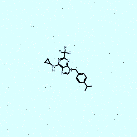 CC(C)c1ccc(Cn2cnc3c(NC4CC4)nc(C(F)(F)F)nc32)cc1